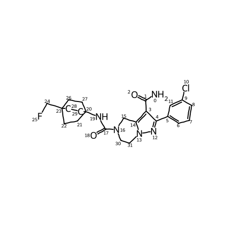 NC(=O)c1c(-c2cccc(Cl)c2)nn2c1CN(C(=O)NC13CCC(CF)(CC1)CC3)CC2